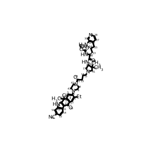 CCc1cc2c(cc1N1CCN(C(=O)CCCN3C[C@H](NC(=O)[C@H](CCCc4ccncc4N)NC(=O)OC(C)(C)C)C(C)(C)C3)CC1)C(C)(C)c1[nH]c3cc(C#N)ccc3c1C2=O